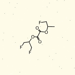 CC(CF)OC(=O)C(=O)OC(CF)CF